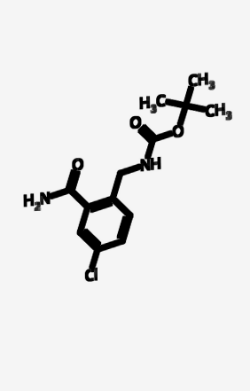 CC(C)(C)OC(=O)NCc1ccc(Cl)cc1C(N)=O